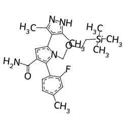 Cc1ccc(-c2c(C(N)=O)cc(-c3c(C)n[nH]c3C)n2COCC[Si](C)(C)C)c(F)c1